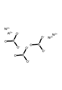 [Al+3].[Ni+2].[Ni+2].[Ni+2].[O-]B([O-])[O-].[O-]B([O-])[O-].[O-]B([O-])[O-]